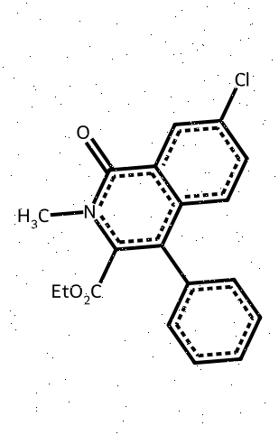 CCOC(=O)c1c(-c2ccccc2)c2ccc(Cl)cc2c(=O)n1C